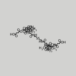 CC(C)(COC(=O)CCC(=O)O)[C@@H](O[Si](C)(C)C(C)(C)C)C(=O)NCCC(=O)NCCSSCCNC(=O)CCNC(=O)[C@H](O[Si](C)(C)C(C)(C)C)C(C)(C)COC(=O)CCC(=O)O